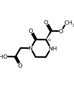 COC(=O)[C@H]1NCCN(CC(=O)O)C1=O